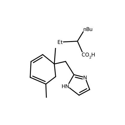 CC1=CC=CC(C)(Cc2ncc[nH]2)C1.CCCCC(CC)C(=O)O